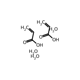 C=CC(=O)O.C=CC(=O)O.O.O.O